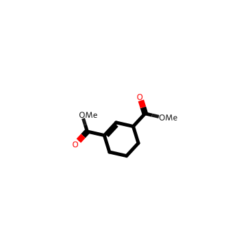 COC(=O)C1=CC(C(=O)OC)CCC1